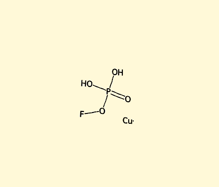 O=P(O)(O)OF.[Cu]